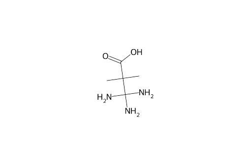 CC(C)(C(=O)O)C(N)(N)N